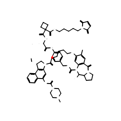 CCCCC[C@H](NC(=O)C1(C(=O)NCCCCCN2C(=O)C=CC2=O)CCC1)C(=O)Nc1ccc(COC(=O)N2c3cc(OCCCCCC(=O)N4C[C@@H](CCl)c5c4cc(OC(=O)N4CCN(C)CC4)c4ccccc54)c(C)cc3C(=O)N3CCC[C@H]3C2O)cc1